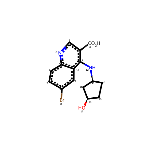 O=C(O)c1cnc2ccc(Br)cc2c1N[C@H]1CC[C@@H](O)C1